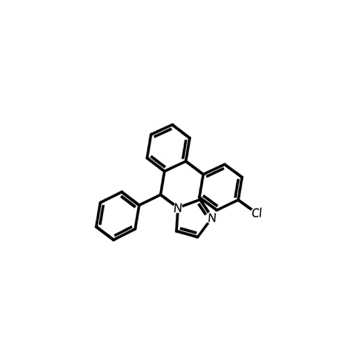 Clc1ccc(-c2ccccc2C(c2ccccc2)n2ccnc2)cc1